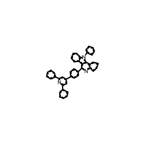 c1ccc(-c2cc(-c3ccc(-c4nc5ccccc5c5c4c4ccccc4n5-c4ccccc4)cc3)cc(-c3ccccc3)n2)cc1